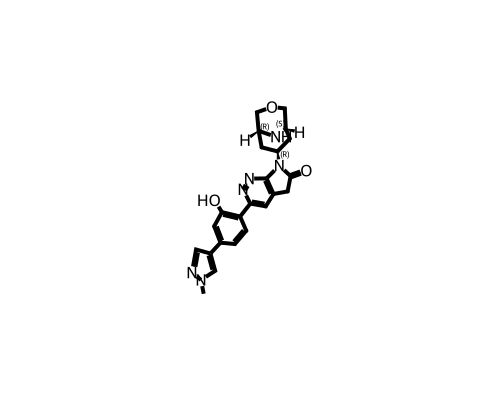 Cn1cc(-c2ccc(-c3cc4c(nn3)N([C@@H]3C[C@H]5COC[C@@H](C3)N5)C(=O)C4)c(O)c2)cn1